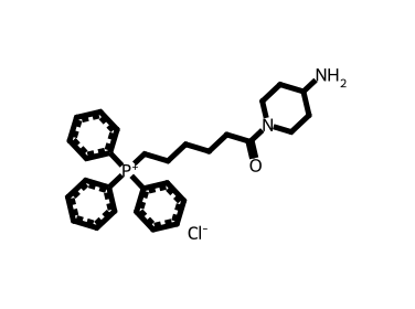 NC1CCN(C(=O)CCCCC[P+](c2ccccc2)(c2ccccc2)c2ccccc2)CC1.[Cl-]